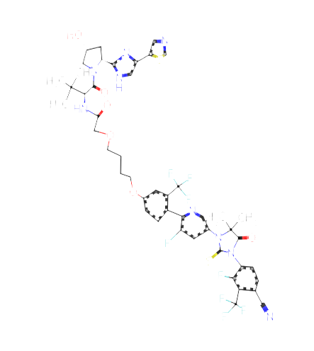 CC(C)(C)[C@H](NC(=O)COCCCCOc1ccc(-c2ncc(N3C(=S)N(c4ccc(C#N)c(C(F)(F)F)c4F)C(=O)C3(C)C)cc2F)c(C(F)(F)F)c1)C(=O)N1C[C@H](O)C[C@H]1c1nc(-c2cncs2)c[nH]1